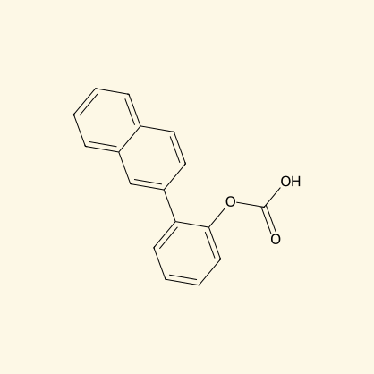 O=C(O)Oc1ccccc1-c1ccc2ccccc2c1